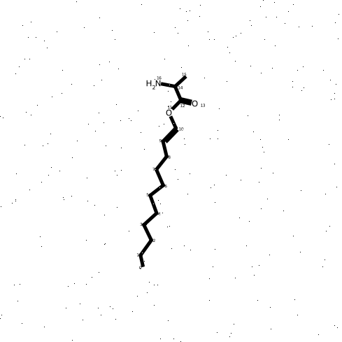 CCCCCCCCCC=COC(=O)C(C)N